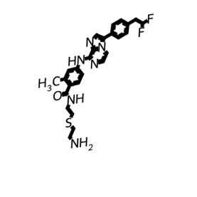 Cc1cc(Nc2nccn3c(-c4ccc(CC(F)F)cc4)cnc23)ccc1C(=O)NCCSCCN